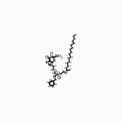 CCCCCCCCCCCCCCCCC(C)OCCOP(=O)(COCCn1cnc2c(=O)[nH]c(N)nc21)OCc1ccccc1